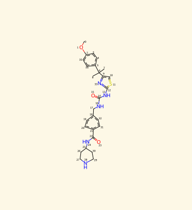 COc1ccc(C(C)(C)c2csc(NC(=O)NCc3ccc(C(=O)NC4CCNCC4)cc3)n2)cc1